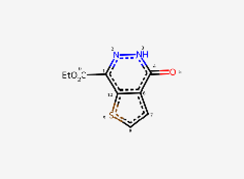 CCOC(=O)c1n[nH]c(=O)c2ccsc12